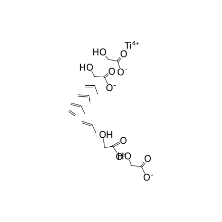 C=C.C=CC.C=CC.C=CC.C=CC.O=C([O-])CO.O=C([O-])CO.O=C([O-])CO.O=C([O-])CO.[Ti+4]